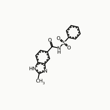 Cc1nc2cc(C(=O)NS(=O)(=O)c3ccccc3)ccc2[nH]1